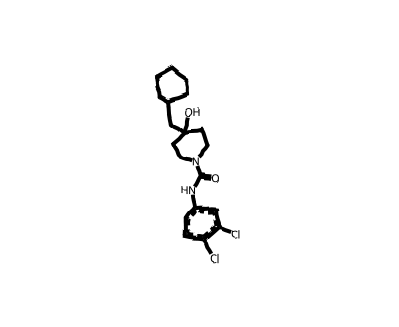 O=C(Nc1ccc(Cl)c(Cl)c1)N1CCC(O)(CC2CCCCC2)CC1